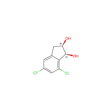 O[C@@H]1Cc2cc(Cl)cc(Cl)c2[C@@H]1O